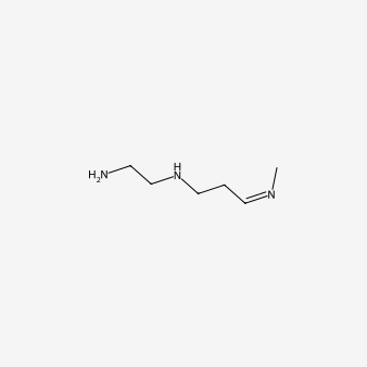 C/N=C\CCNCCN